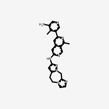 Cc1c(N)cncc1-c1cc2cc(Nc3cc4n(n3)Cc3nccn3CC4)ncc2c(C)n1